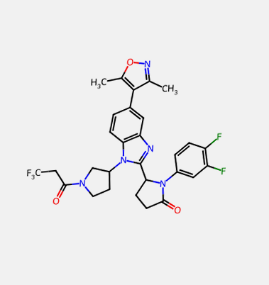 Cc1noc(C)c1-c1ccc2c(c1)nc(C1CCC(=O)N1c1ccc(F)c(F)c1)n2C1CCN(C(=O)CC(F)(F)F)C1